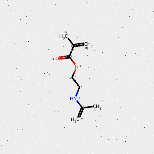 C=C(C)NCCOC(=O)C(=C)C